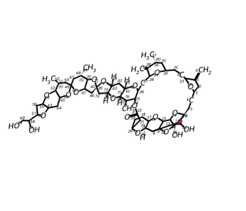 C=C1CC2CC[C@@]34OC5C6O[C@@](O)(C(O3)C6OC3CCC(CC(=O)OC6C(CC7OC(CCC1O2)C[C@@H](C)C7=C)O[C@H]1C[C@H]2O[C@]7(CC8OC9(C[C@H](C)C%10OC%11CC(C(O)CO)OC%11CC%10O9)C[C@H](C)C8O7)C[C@H]2O[C@H]1[C@@H]6C)O[C@@H]35)C4O